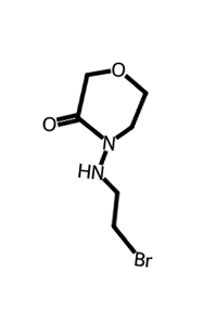 O=C1COCCN1NCCBr